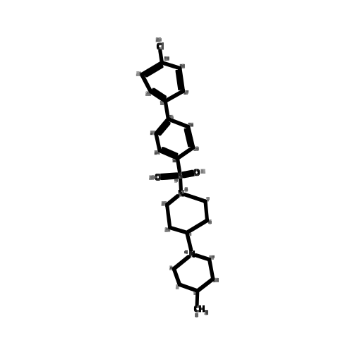 CC1CCN(C2CCN(S(=O)(=O)c3ccc(-c4ccc(Cl)cc4)cc3)CC2)CC1